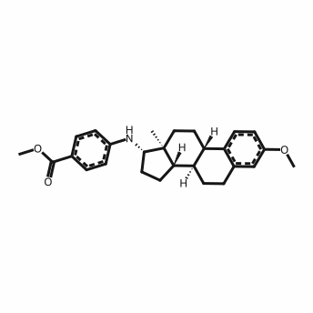 COC(=O)c1ccc(N[C@H]2CC[C@H]3[C@@H]4CCc5cc(OC)ccc5[C@H]4CC[C@]23C)cc1